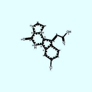 O=C(O)/C=c1\c2ccc(Cl)cc2c2[nH]c(=O)c3nccn3c12